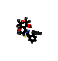 CCc1sc(-c2ccccc2OC)nc1C1C(=O)C(C)(C)OC(C)(C)C1=O